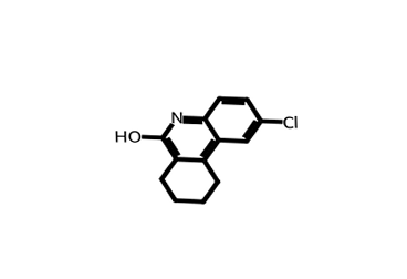 Oc1nc2ccc(Cl)cc2c2c1CCCC2